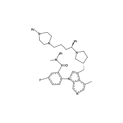 CC(=O)N1CCN(CCC[C@@H](C(C)C)N2CC[C@H](Cc3cn(-c4ccc(F)cc4C(=O)N(C)C(C)C)c4cncc(C)c34)C2)CC1